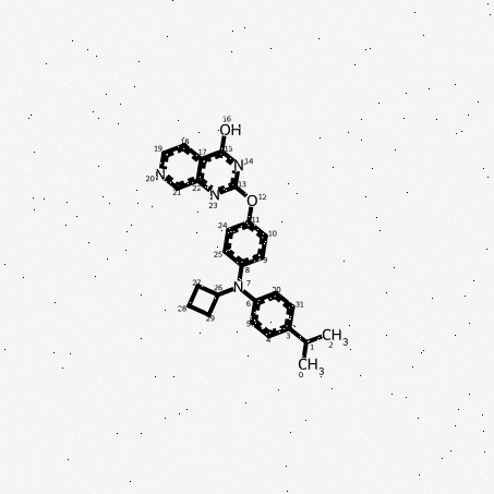 CC(C)c1ccc(N(c2ccc(Oc3nc(O)c4ccncc4n3)cc2)C2CCC2)cc1